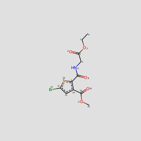 CCOC(=O)CNC(=O)c1sc(Br)cc1C(=O)OC